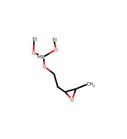 CCO[SiH](OCC)OCCC1OC1C